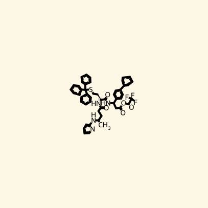 CC(CCC(=O)N[C@@H](CCSC(c1ccccc1)(c1ccccc1)c1ccccc1)C(=O)NC(CC(=O)OC(=O)C(F)(F)F)c1ccc(-c2ccccc2)cc1)Nc1ccccn1